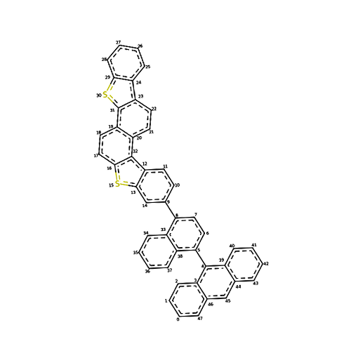 c1ccc2c(-c3ccc(-c4ccc5c(c4)sc4ccc6c(ccc7c8ccccc8sc76)c45)c4ccccc34)c3ccccc3cc2c1